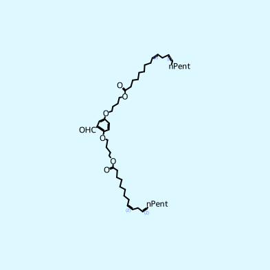 CCCCC/C=C\C/C=C\CCCCCCCC(=O)OCCCCOc1ccc(OCCCCOC(=O)CCCCCCC/C=C\C/C=C\CCCCC)c(C=O)c1